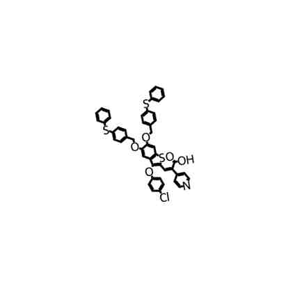 O=C(O)C(=Cc1sc2cc(OCc3ccc(Sc4ccccc4)cc3)c(OCc3ccc(Sc4ccccc4)cc3)cc2c1Oc1ccc(Cl)cc1)c1ccncc1